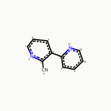 N#Cc1ncccc1-c1ccc[c]n1